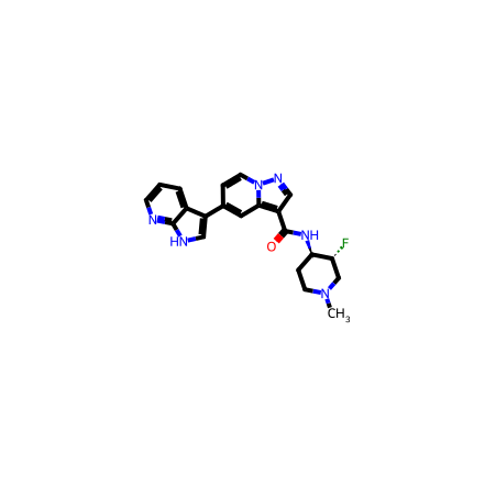 CN1CC[C@@H](NC(=O)c2cnn3ccc(-c4c[nH]c5ncccc45)cc23)[C@H](F)C1